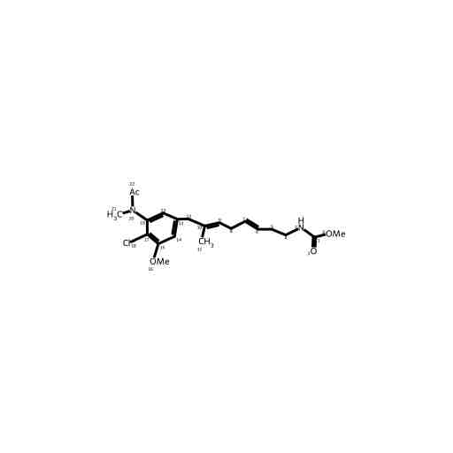 COC(=O)NCC/C=C/C/C=C(\C)Cc1cc(OC)c(Cl)c(N(C)C(C)=O)c1